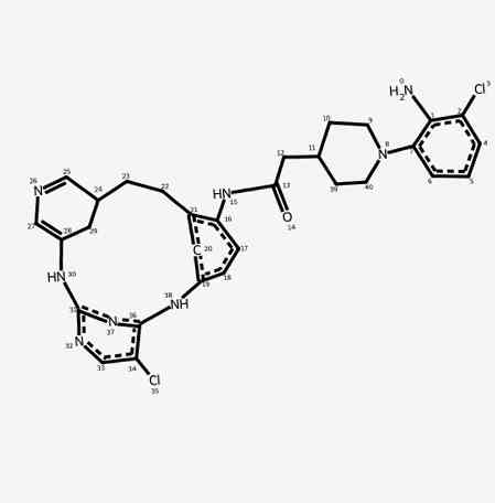 Nc1c(Cl)cccc1N1CCC(CC(=O)Nc2ccc3cc2CCC2C=NC=C(C2)Nc2ncc(Cl)c(n2)N3)CC1